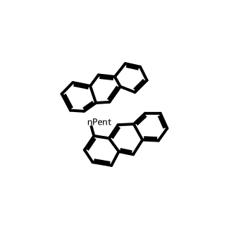 CCCCCc1cccc2cc3ccccc3cc12.c1ccc2cc3ccccc3cc2c1